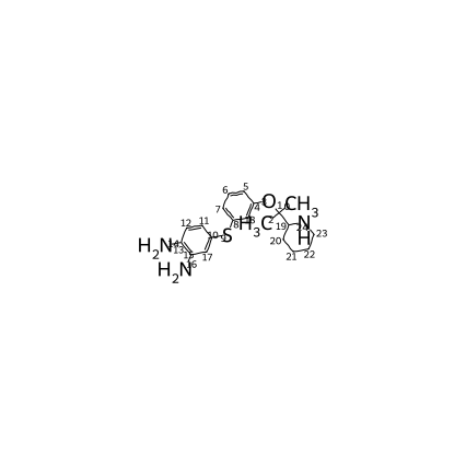 CC(C)(Oc1cccc(Sc2ccc(N)c(N)c2)c1)C1CCCCN1